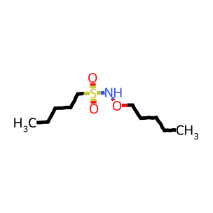 CCCCCONS(=O)(=O)CCCCC